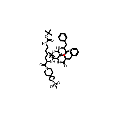 CC(C)CC(NC(=O)C(Cc1ccccc1)NC(=O)C(Cc1ccccc1)NC(=O)OC(C)(C)C)C(=O)NC(CCCCNC(=O)OC(C)(C)C)C(=O)N1CCC2(CC1)CN(S(C)(=O)=O)C2